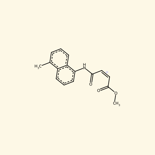 COC(=O)/C=C\C(=O)Nc1cccc2c(C)cccc12